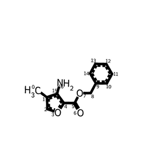 Cc1coc(C(=O)OCc2ccccc2)c1N